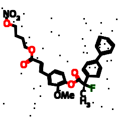 COc1cc(C=CC(=O)OCCCCO[N+](=O)[O-])ccc1OC(=O)[C@](C)(F)c1ccc(-c2ccccc2)cc1